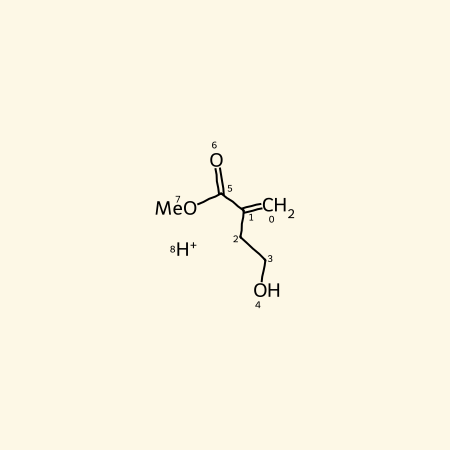 C=C(CCO)C(=O)OC.[H+]